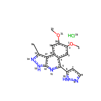 COc1cc2c(-c3ccn[nH]3)nc3[nH]nc(C)c3c2cc1OC.Cl